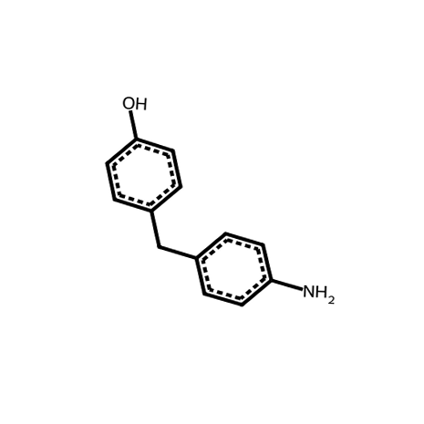 Nc1ccc(Cc2ccc(O)cc2)cc1